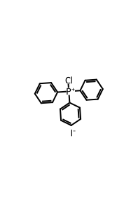 Cl[P+](c1ccccc1)(c1ccccc1)c1ccccc1.[I-]